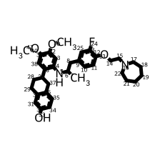 COc1cc(NC(C)Cc2ccc(OCCN3CCCCCC3)c(F)c2)c(C2CCc3cc(O)ccc3C2)cc1OC